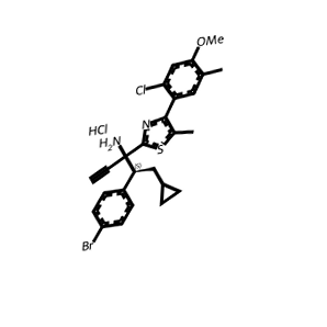 C#CC(N)(c1nc(-c2cc(C)c(OC)cc2Cl)c(C)s1)[C@@H](CC1CC1)c1ccc(Br)cc1.Cl